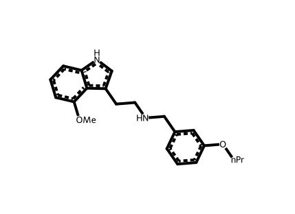 CCCOc1cccc(CNCCc2c[nH]c3cccc(OC)c23)c1